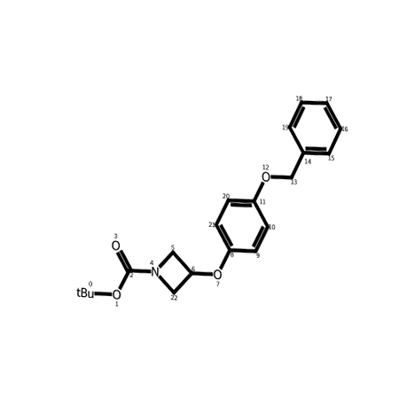 CC(C)(C)OC(=O)N1CC(Oc2ccc(OCc3ccccc3)cc2)C1